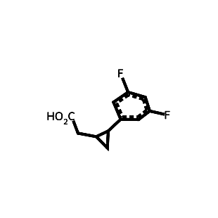 O=C(O)CC1CC1c1cc(F)cc(F)c1